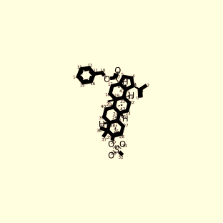 C=C(C)[C@@H]1CC[C@]2(C(=O)OCc3ccccc3)CC[C@]3(C)[C@H](CC[C@@H]4[C@@]5(C)CC=C(OS(C)(=O)=O)C(C)(C)[C@@H]5CC[C@]43C)[C@@H]12